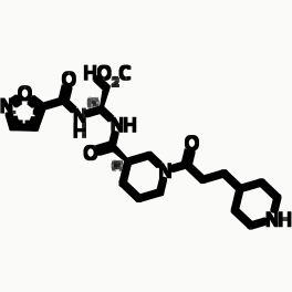 O=C(O)C[C@H](NC(=O)c1ccno1)NC(=O)[C@@H]1CCCN(C(=O)CCC2CCNCC2)C1